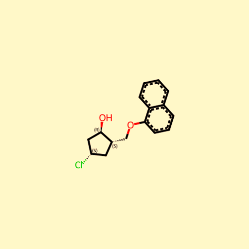 O[C@@H]1C[C@@H](Cl)C[C@H]1COc1cccc2ccccc12